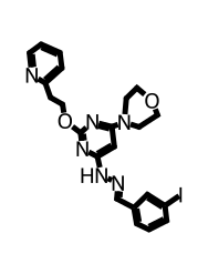 Ic1cccc(/C=N/Nc2cc(N3CCOCC3)nc(OCCc3ccccn3)n2)c1